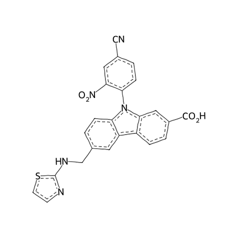 N#Cc1ccc(-n2c3ccc(CNc4nccs4)cc3c3ccc(C(=O)O)cc32)c([N+](=O)[O-])c1